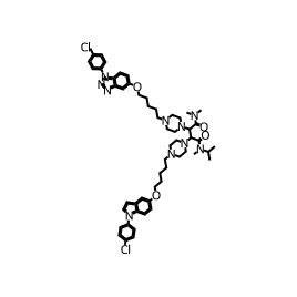 CC(C)N(C)C(=O)C(C(C(=O)N(C)C)N1CCN(CCCCCOc2ccc3c(c2)nnn3-c2ccc(Cl)cc2)CC1)N1CCN(CCCCCOc2ccc3c(ccn3-c3ccc(Cl)cc3)c2)CC1